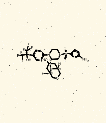 Nc1ccc(S(=O)(=O)N2CCN(c3ncc(C(O)(C(F)(F)F)C(F)(F)F)cn3)[C@@H](CN3[C@@H]4COC[C@H]3CC(O)C4)C2)s1